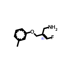 Cc1cccc(OC/C(=C/F)CN)c1